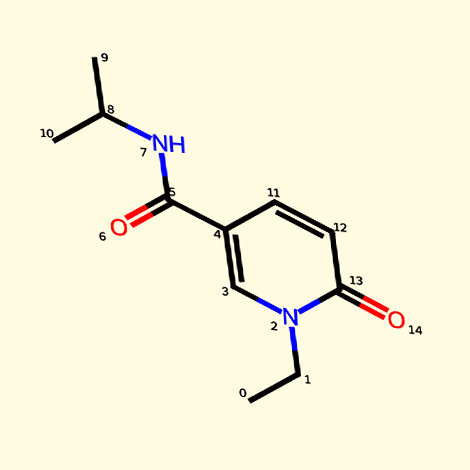 CCn1cc(C(=O)NC(C)C)ccc1=O